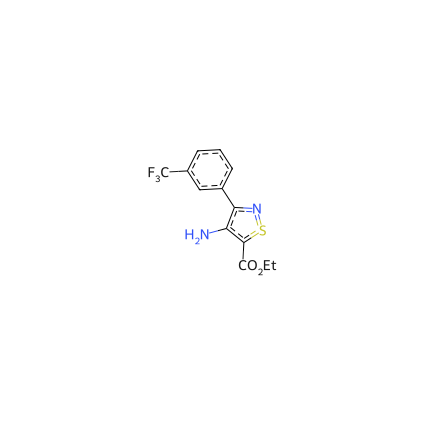 CCOC(=O)c1snc(-c2cccc(C(F)(F)F)c2)c1N